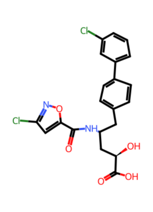 O=C(NC(Cc1ccc(-c2cccc(Cl)c2)cc1)C[C@@H](O)C(=O)O)c1cc(Cl)no1